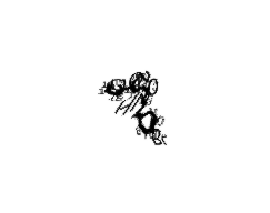 O=C(NCCc1ccc(Br)cc1)c1cc(-c2ccco2)on1